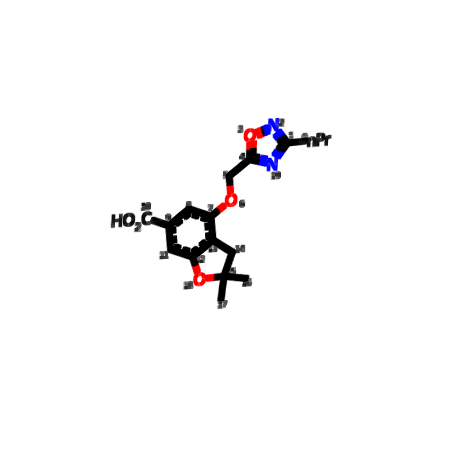 CCCc1noc(COc2cc(C(=O)O)cc3c2CC(C)(C)O3)n1